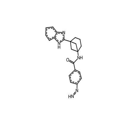 N=Nc1ccc(C(=O)NC23CCCC(c4nc5ccccc5[nH]4)(C2)C3)cc1